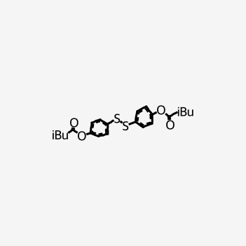 CCC(C)C(=O)Oc1ccc(SSc2ccc(OC(=O)C(C)CC)cc2)cc1